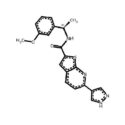 COc1cccc([C@@H](C)NC(=O)c2cc3ccc(-c4cn[nH]c4)nc3s2)c1